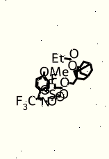 CCC(=O)OC12CC3CC(CC(COC(=O)C(F)(F)S(=O)(=O)O/N=C(\c4ccc(OC)cc4)C(F)(F)F)(C3)C1)C2